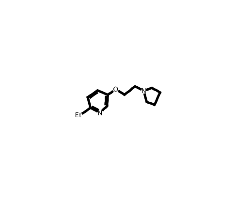 CCc1ccc(OCCN2CCCC2)cn1